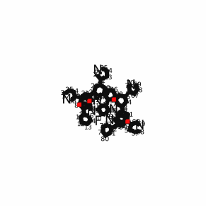 Fc1c(-n2c3ccccc3c3ccccc32)c(-n2c3ccc(-c4cccnc4)cc3c3cc(-c4cccnc4)ccc32)c(-c2ccccc2)c(-n2c3ccc(-c4cccnc4)cc3c3cc(-c4cccnc4)ccc32)c1-n1c2ccccc2c2ccccc21